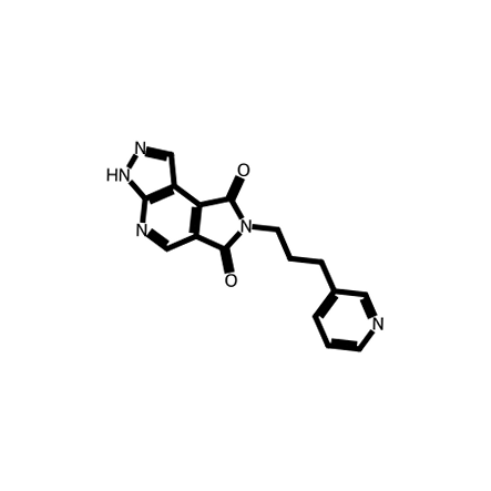 O=C1c2cnc3[nH]ncc3c2C(=O)N1CCCc1cccnc1